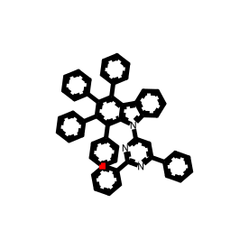 c1ccc(-c2cc(-n3c4ccccc4c4c(-c5ccccc5)c(-c5ccccc5)c(-c5ccccc5)c(-c5ccccc5)c43)nc(-c3ccccc3)n2)cc1